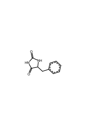 O=C1NC(=O)C(Cc2cc[c]cc2)N1